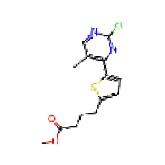 COC(=O)CCCc1ccc(-c2nc(Cl)ncc2C)s1